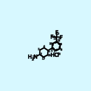 Cl.N[C@H]1CC[C@@H](c2cccc(C(F)(F)F)c2)CC1